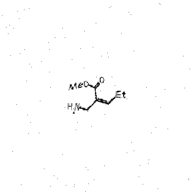 CCC=C(CN)C(=O)OC